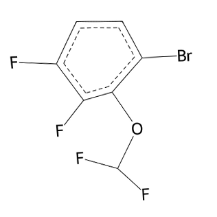 Fc1ccc(Br)c(OC(F)F)c1F